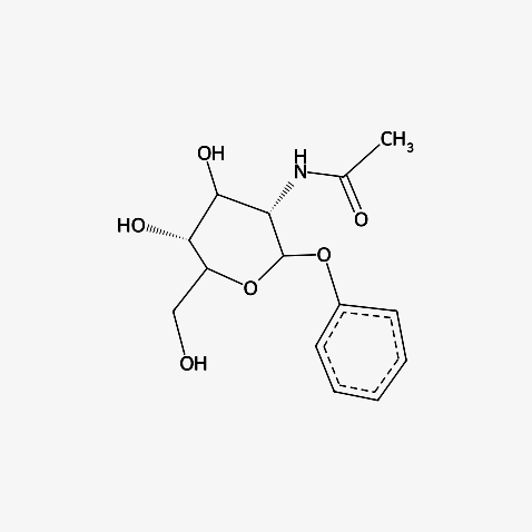 CC(=O)N[C@@H]1C(Oc2ccccc2)OC(CO)[C@H](O)C1O